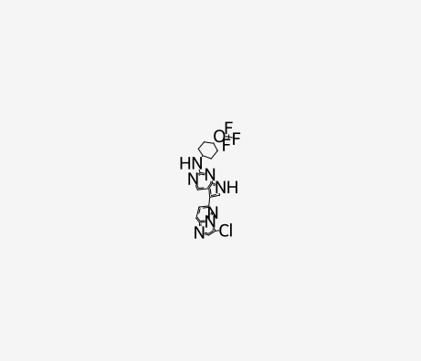 FC(F)(F)OC1CCC(Nc2ncc3c(-c4ccc5ncc(Cl)n5n4)c[nH]c3n2)CC1